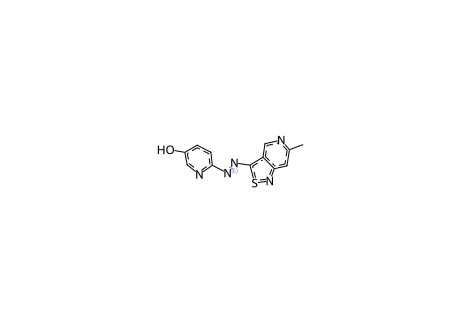 Cc1cc2nsc(/N=N/c3ccc(O)cn3)c2cn1